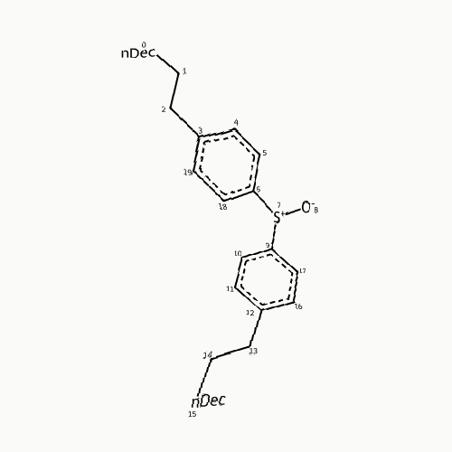 CCCCCCCCCCCCc1ccc([S+]([O-])c2ccc(CCCCCCCCCCCC)cc2)cc1